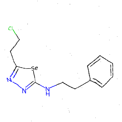 ClCCc1nnc(NCCc2ccccc2)[se]1